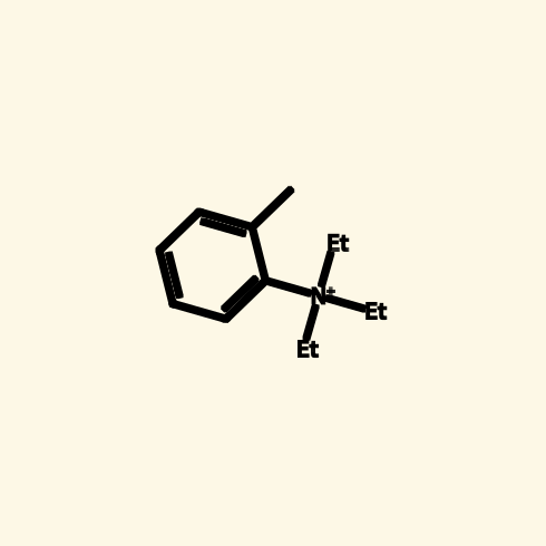 CC[N+](CC)(CC)c1ccccc1C